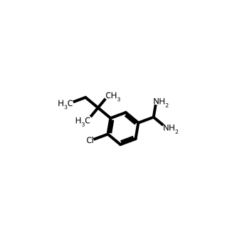 CCC(C)(C)c1cc(C(N)N)ccc1Cl